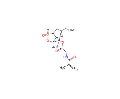 C=C(C)C(=O)NCC(=O)OC1C2OS(=O)(=O)C3CC1(COC(C)=O)CC23COC(C)=O